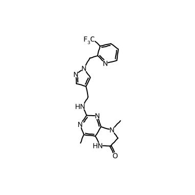 Cc1nc(NCc2cnn(Cc3ncccc3C(F)(F)F)c2)nc2c1NC(=O)CN2C